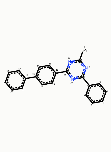 CC(C)c1nc(-c2ccccc2)nc(-c2ccc(-c3ccccc3)cc2)n1